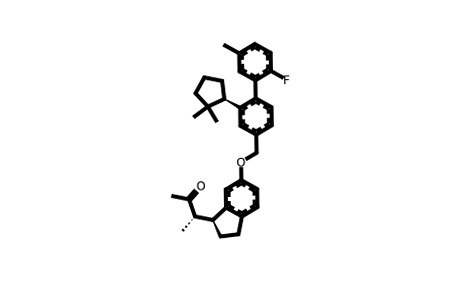 CC(=O)[C@@H](C)[C@@H]1CCc2ccc(OCc3ccc(-c4cc(C)ccc4F)c([C@@H]4CCCC4(C)C)c3)cc21